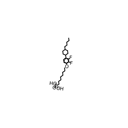 CCCCCC1CCC(c2ccc(OCCCCCCCCP(=O)(O)O)c(F)c2F)CC1